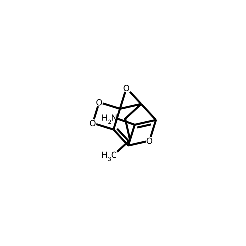 CCCC12OC13OOC3=C1OC2=C1N